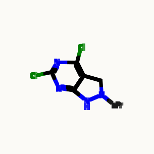 CCCN1Cc2c(Cl)nc(Cl)nc2N1